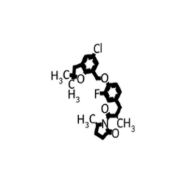 C[C@@H]1CCC(=O)N1C(=O)[C@@H](C)Cc1ccc(OCc2cc(Cl)cc3c2OC(C)(C)C3)c(F)c1